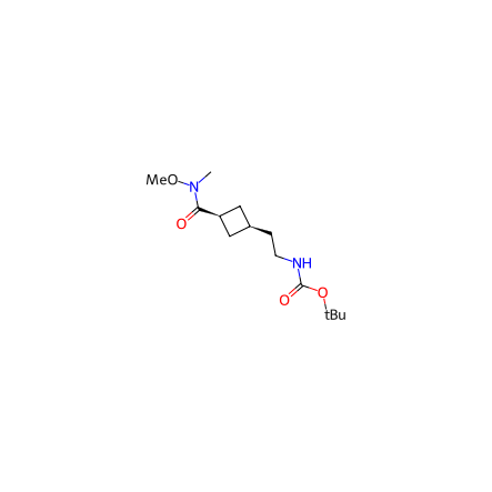 CON(C)C(=O)[C@H]1C[C@@H](CCNC(=O)OC(C)(C)C)C1